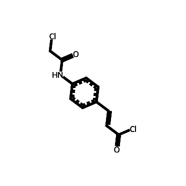 O=C(Cl)C=Cc1ccc(NC(=O)CCl)cc1